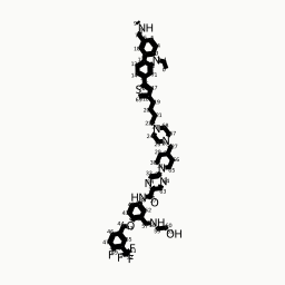 CCn1c2ccc(CNC)cc2c2ccc(-c3cc(CCCCN4CCN(CC5CCN(c6cnc(C(=O)Nc7ccc(OCc8ccc(F)c(C(F)(F)F)c8)c(CNCCO)c7)cn6)CC5)CC4)cs3)cc21